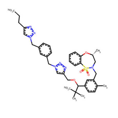 Cc1ccc(C(OCc2cn(Cc3cccc(Cn4cc(CCC(=O)O)nn4)c3)nn2)C(C)(C)C(=O)O)cc1CN1C[C@@H](C)Oc2ccccc2S1(=O)=O